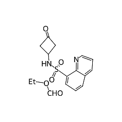 CCOC=O.O=C1CC(NS(=O)(=O)c2cccc3cccnc23)C1